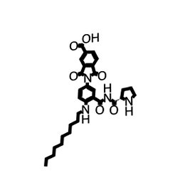 CCCCCCCCCCNc1ccc(N2C(=O)c3ccc(C(=O)O)cc3C2=O)cc1C(=O)NC(=O)[C@@H]1CCCN1